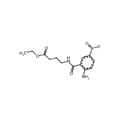 CCOC(=O)CCCNC(=O)c1cc([N+](=O)[O-])ccc1N